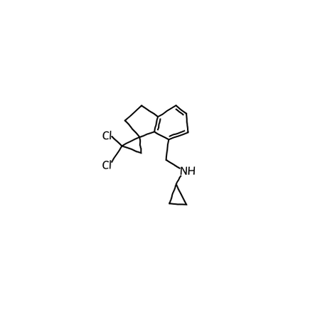 ClC1(Cl)CC12CCc1cccc(CNC3CC3)c12